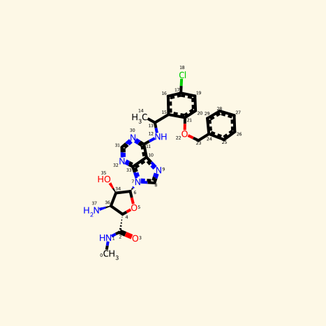 CNC(=O)[C@H]1O[C@@H](n2cnc3c(NC(C)c4cc(Cl)ccc4OCc4ccccc4)ncnc32)[C@H](O)[C@@H]1N